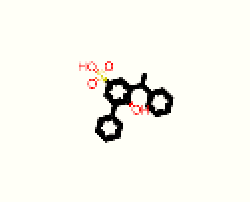 CC(c1ccccc1)c1cc(S(=O)(=O)O)cc(-c2ccccc2)c1O